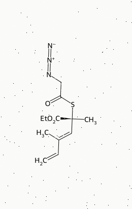 C=C/C(C)=C/[C@@](C)(SC(=O)CN=[N+]=[N-])C(=O)OCC